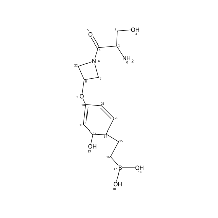 NC(CO)C(=O)N1CC(OC2=CC(O)C(CCB(O)O)C=C2)C1